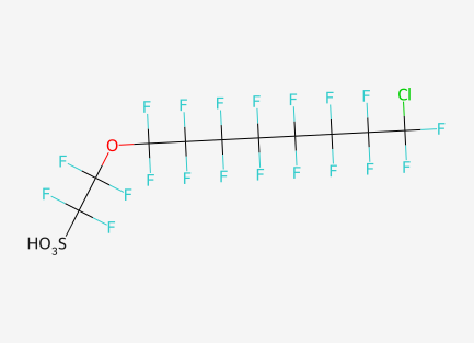 O=S(=O)(O)C(F)(F)C(F)(F)OC(F)(F)C(F)(F)C(F)(F)C(F)(F)C(F)(F)C(F)(F)C(F)(F)C(F)(F)Cl